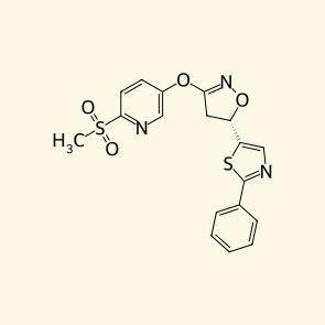 CS(=O)(=O)c1ccc(OC2=NO[C@H](c3cnc(-c4ccccc4)s3)C2)cn1